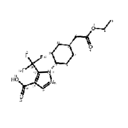 CCOC(=O)C[C@H]1CC[C@H](n2ncc(C(=O)O)c2C(F)(F)F)CC1